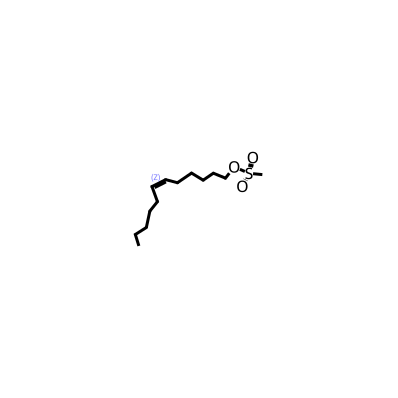 CCCCC/C=C\CCCCCOS(C)(=O)=O